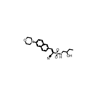 CCC(O)CNS(=O)(=O)/C(C#N)=C/c1ccc2cc(N3CCOCC3)ccc2c1